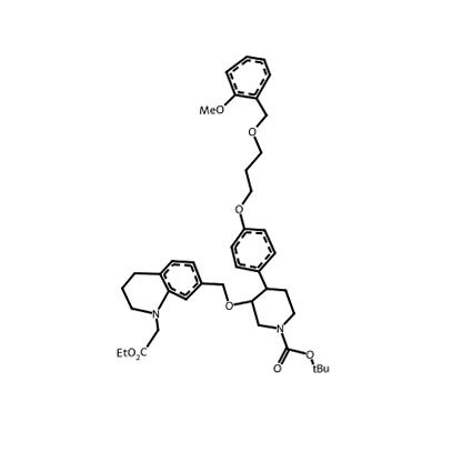 CCOC(=O)CN1CCCc2ccc(COC3CN(C(=O)OC(C)(C)C)CCC3c3ccc(OCCCOCc4ccccc4OC)cc3)cc21